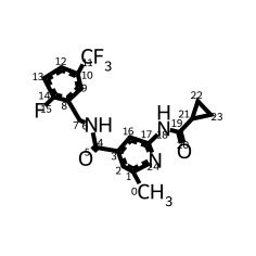 Cc1cc(C(=O)NCc2cc(C(F)(F)F)ccc2F)cc(NC(=O)C2CC2)n1